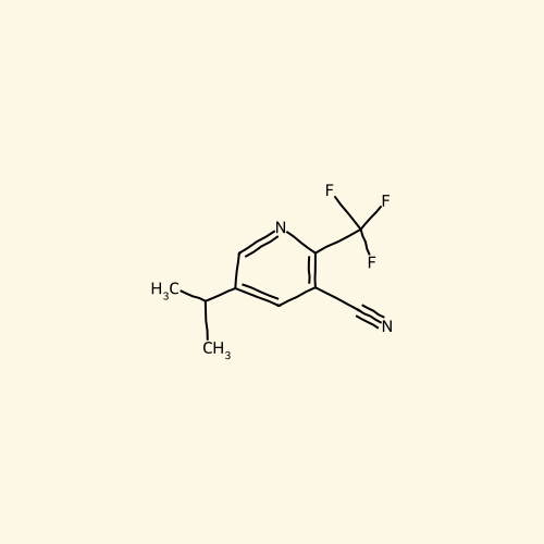 CC(C)c1cnc(C(F)(F)F)c(C#N)c1